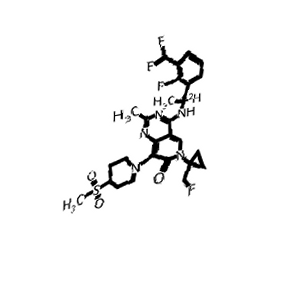 [2H][C@](C)(Nc1nc(C)nc2c(N3CCC(S(C)(=O)=O)CC3)c(=O)n(C3(CF)CC3)cc12)c1cccc(C(F)F)c1F